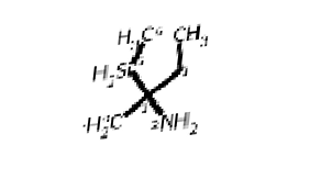 [CH2]C(N)(CC)[SiH2]C